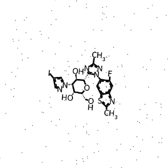 Cc1nc([C@@H]2O[C@H](CO)[C@H](O)[C@H](n3cc(I)cn3)[C@H]2O)n(-c2cc3sc(C)nc3cc2F)n1